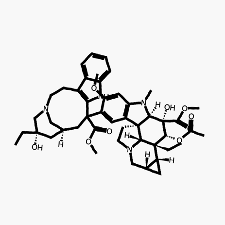 CC[C@]1(O)C[C@H]2CN(CCc3c([nH]c4ccccc34)C(C(=O)OC)(c3cc4c(cc3OC)N(C)[C@H]3[C@@](O)(C(=O)OC)[C@H](OC(C)=O)[C@]5(CC)[C@@H]6C[C@@H]6CN6CC[C@]43[C@@H]65)C2)C1